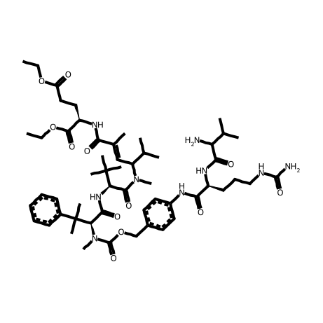 CCOC(=O)CC[C@@H](NC(=O)/C(C)=C/C(C(C)C)N(C)C(=O)[C@@H](NC(=O)[C@@H](N(C)C(=O)OCc1ccc(NC(=O)[C@H](CCCNC(N)=O)NC(=O)C(N)C(C)C)cc1)C(C)(C)c1ccccc1)C(C)(C)C)C(=O)OCC